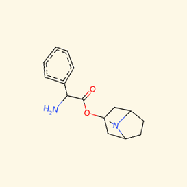 CN1C2CCC1CC(OC(=O)C(N)c1ccccc1)C2